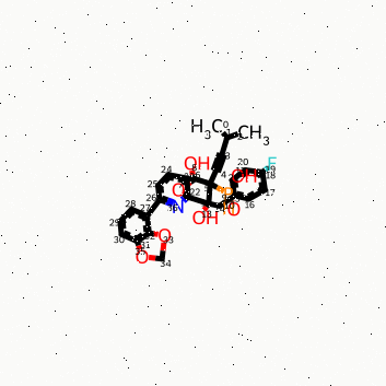 CC(C)C#CC(C(=O)O)([PH](=O)O)C(O)(Cc1ccc(F)cc1)c1cccc(-c2cccc3c2OCO3)n1